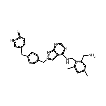 Cc1cc(C)c(CNc2ncnc3nn(Cc4ccc(Cc5ccc(=O)[nH]c5)cc4)cc23)c(CN)c1